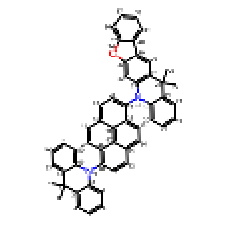 CC1(C)c2ccccc2N(c2ccc3ccc4c(N5c6ccccc6C(C)(C)c6cc7c(cc65)oc5ccccc57)ccc5ccc2c3c54)c2ccccc21